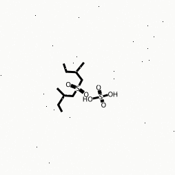 CCC(C)CS(=O)(=O)CC(C)CC.O=S(=O)(O)O